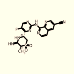 C[C@H]1C(=N)N[C@H](c2nc(Nc3nccc4cc(C#N)cnc34)ncc2F)CS1(=O)=O